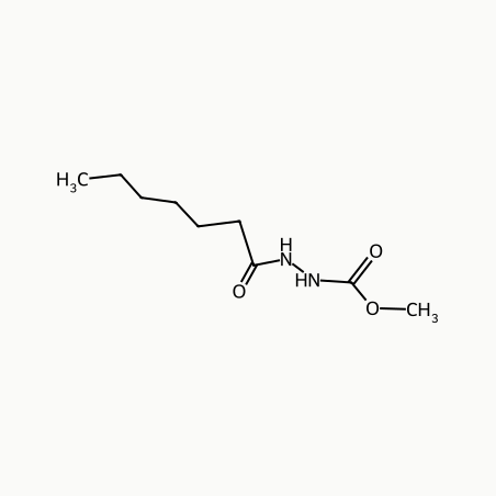 CCCCCCC(=O)NNC(=O)OC